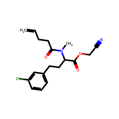 C=CCCC(=O)N(C)C(CCc1cccc(Cl)c1)C(=O)OCC#N